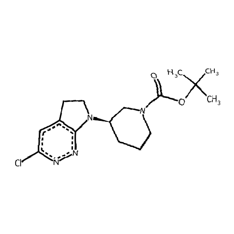 CC(C)(C)OC(=O)N1CCC[C@@H](N2CCc3cc(Cl)nnc32)C1